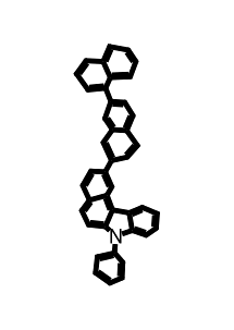 c1ccc(-n2c3ccccc3c3c4cc(-c5ccc6ccc(-c7cccc8ccccc78)cc6c5)ccc4ccc32)cc1